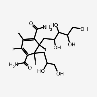 NC(=O)C1=C(I)C(I)=C(C(N)=O)C(I)(CC(O)C(O)C(O)CO)C1(I)CC(O)CO